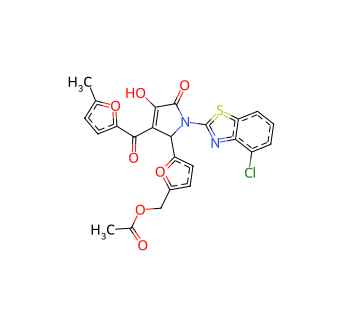 CC(=O)OCc1ccc(C2C(C(=O)c3ccc(C)o3)=C(O)C(=O)N2c2nc3c(Cl)cccc3s2)o1